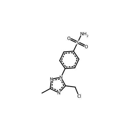 Cc1nc(CCl)n(-c2ccc(S(N)(=O)=O)cc2)n1